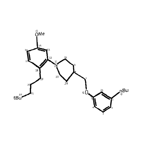 CC[CH]Cc1cccc(OCC2CCN(c3cc(OC)ccc3CCCC(C)(C)C)CC2)c1